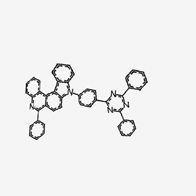 c1ccc(-c2nc(-c3ccccc3)nc(-c3ccc(-n4c5ccccc5c5c6c(ccc54)c(-c4ccccc4)nc4ccccc46)cc3)n2)cc1